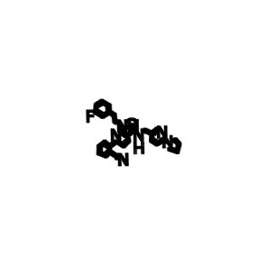 N#Cc1ccccc1-c1ccc(C(=O)NCc2ccc(N3CCCC3)nc2)c(NCCc2cccc(F)c2)n1